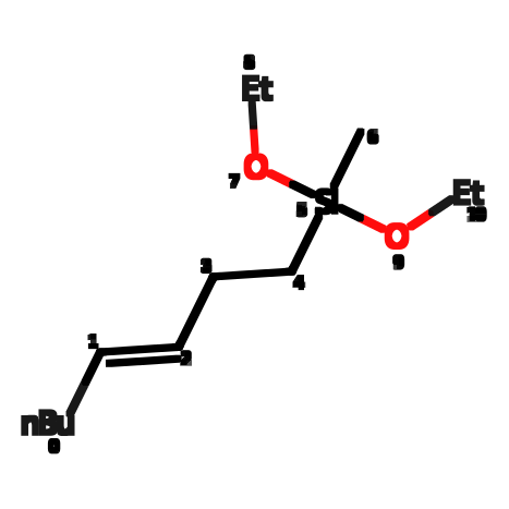 CCCCC=CCC[Si](C)(OCC)OCC